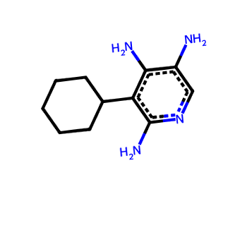 Nc1cnc(N)c(C2CCCCC2)c1N